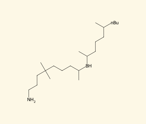 CCCCC(C)CCCC(C)BC(C)CCCC(C)(C)CCCN